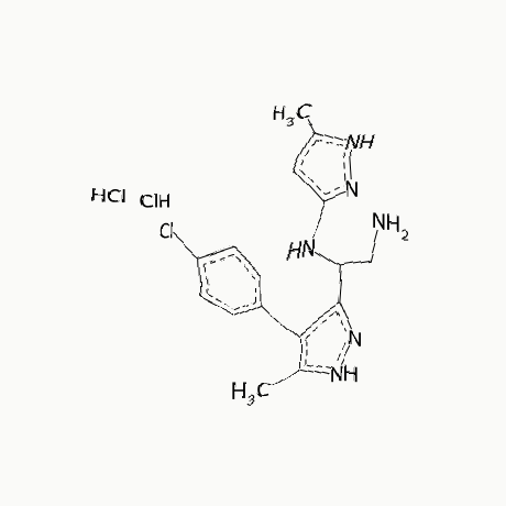 Cc1cc(NC(CN)c2n[nH]c(C)c2-c2ccc(Cl)cc2)n[nH]1.Cl.Cl